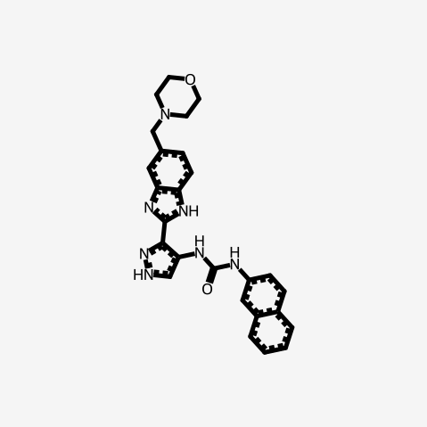 O=C(Nc1ccc2ccccc2c1)Nc1c[nH]nc1-c1nc2cc(CN3CCOCC3)ccc2[nH]1